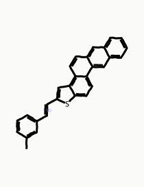 Cc1cccc(/C=C/c2cc3c(ccc4c5cc6ccccc6cc5ccc34)s2)c1